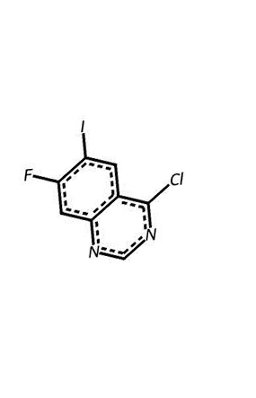 Fc1cc2ncnc(Cl)c2cc1I